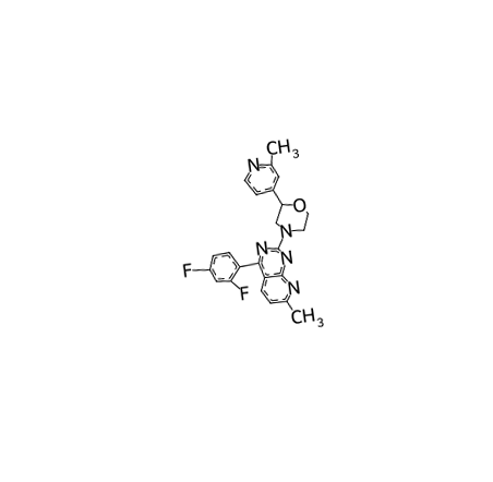 Cc1cc(C2CN(c3nc(-c4ccc(F)cc4F)c4ccc(C)nc4n3)CCO2)ccn1